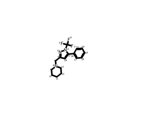 FC(F)(F)n1nc(CN2CCCCC2)cc1-c1ccccc1